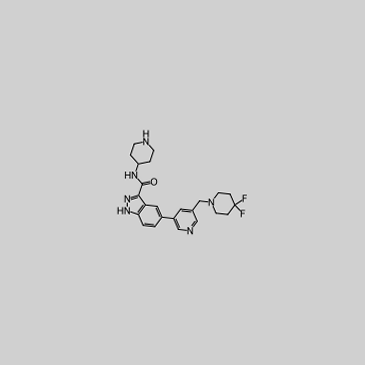 O=C(NC1CCNCC1)c1n[nH]c2ccc(-c3cncc(CN4CCC(F)(F)CC4)c3)cc12